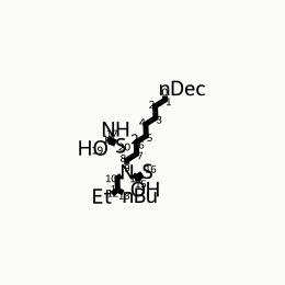 CCCCCCCCCCCCCCCCCCN(CC(CC)CCCC)C(O)=S.NC(O)=S